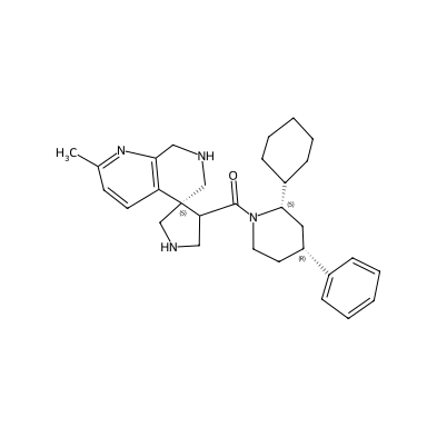 Cc1ccc2c(n1)CNC[C@]21CNCC1C(=O)N1CC[C@@H](c2ccccc2)C[C@H]1C1CCCCC1